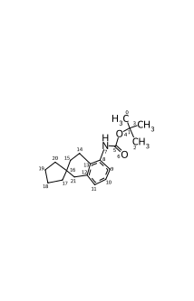 CC(C)(C)OC(=O)Nc1cccc2c1CCC1(CCCC1)C2